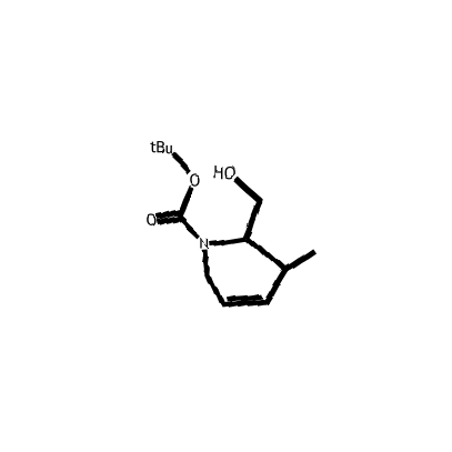 CC1C=CCN(C(=O)OC(C)(C)C)C1CO